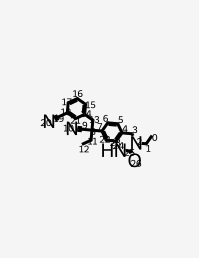 CCN1Cc2ccc(C(C#N)(CC)Cc3cccc(C#N)c3)cc2NC1=O